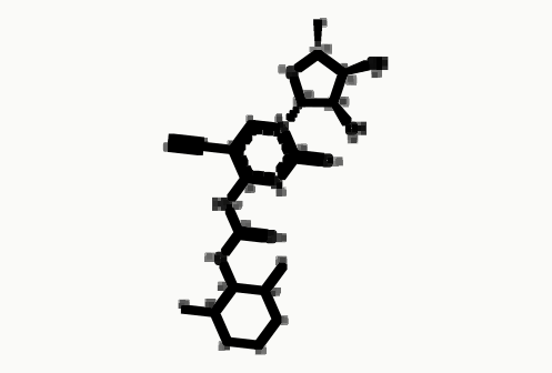 C#Cc1cn([C@@H]2O[C@H](C)[C@@H](O)[C@H]2O)c(=O)nc1NC(=O)OC1C(C)CCCC1C